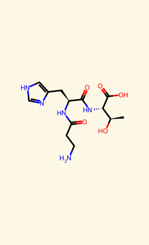 C[C@@H](O)[C@H](NC(=O)[C@H](Cc1c[nH]cn1)NC(=O)CCN)C(=O)O